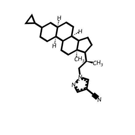 C[C@@H](Cn1cc(C#N)cn1)C1CCC2[C@@H]3CC[C@@H]4CC(C5CC5)CC[C@@H]4C3CC[C@@]21C